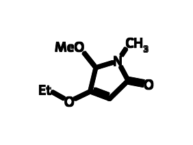 CCOC1=CC(=O)N(C)C1OC